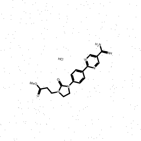 COC(=O)CCN1CCN(c2ccc(-c3ncc(C(=N)N)cn3)cc2)C1=O.Cl